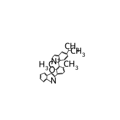 Cc1ccc2c(oc3c4ccccc4cnc23)c1-c1c2ccc(C(C)C)cc2cc[n+]1C